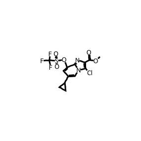 COC(=O)c1nc2c(OS(=O)(=O)C(F)(F)F)cc(C3CC3)cn2c1Cl